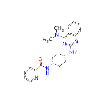 CN(C)c1nc(N[C@H]2CC[C@@H](NC(=O)c3ccccn3)CC2)nc2ccccc12